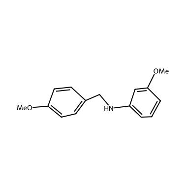 COc1ccc(CNc2cccc(OC)c2)cc1